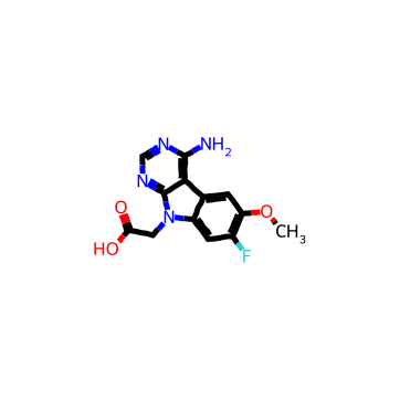 COc1cc2c3c(N)ncnc3n(CC(=O)O)c2cc1F